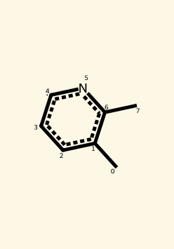 Cc1cc[c]nc1C